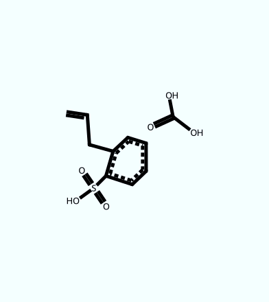 C=CCc1ccccc1S(=O)(=O)O.O=C(O)O